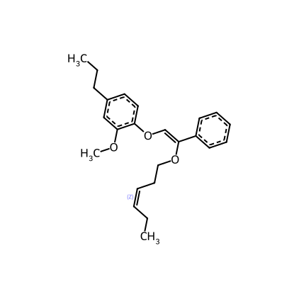 CC/C=C\CCOC(=COc1ccc(CCC)cc1OC)c1ccccc1